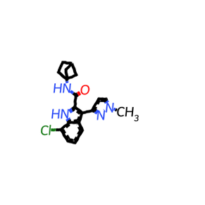 Cn1ccc(-c2c(C(=O)NC34CCC(C3)C4)[nH]c3c(Cl)cccc23)n1